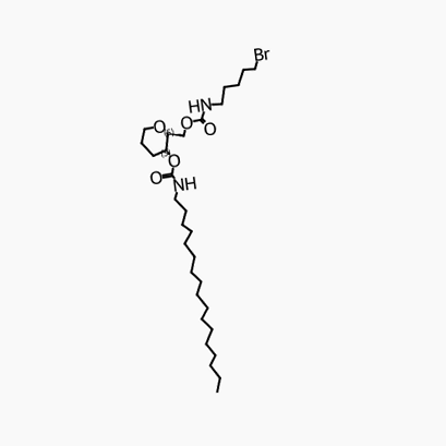 CCCCCCCCCCCCCCCCCNC(=O)O[C@H]1CCCO[C@H]1COC(=O)NCCCCCBr